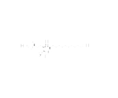 CCCCCCCCCCCC(=O)N[C@H](CCC(=O)OC)C(=O)OC